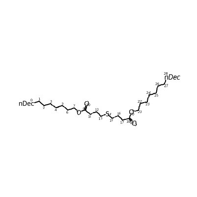 CCCCCCCCCCCCCCCCCOC(=O)CCCSCCCC(=O)OCCCCCCCCCCCCCCCCC